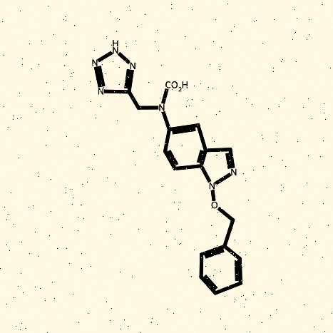 O=C(O)N(Cc1nn[nH]n1)c1ccc2c(cnn2OCc2ccccc2)c1